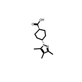 Cc1nn([C@H]2CC[C@H](C(=O)O)CC2)c(C)c1C